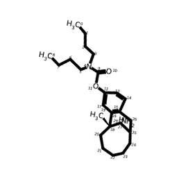 CCCCN(CCCC)C(=O)Oc1ccc2c(c1)[C@@]1(C)CCCCCC(C2)[C@@H]1N